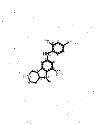 CN1c2c(cc(Nc3ccc(F)cc3F)cc2C(F)(F)F)C2CNCCC21